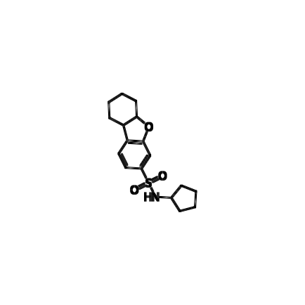 O=S(=O)(NC1CCCC1)c1ccc2c(c1)OC1CCCCC21